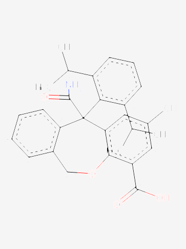 Cc1cc(C(=O)O)c2c(c1)C(C(N)=O)(c1c(C(C)C)cccc1C(C)C)c1ccccc1CO2